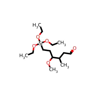 CCO[Si](CCC(OC)C(C)CC=O)(OCC)OCC